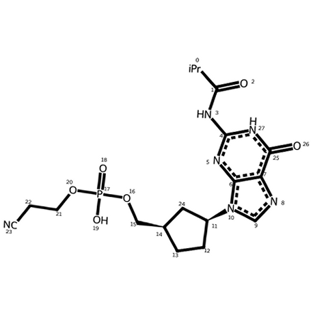 CC(C)C(=O)Nc1nc2c(ncn2[C@H]2CC[C@@H](COP(=O)(O)OCCC#N)C2)c(=O)[nH]1